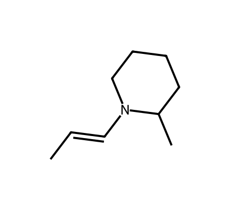 CC=CN1CCCCC1C